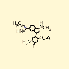 CN/C=C(\C=N)c1ccc2c(c1)C(c1cc(N)c(F)cc1OCC1CC1)=CC2NC